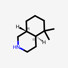 CC1(C)CCC[C@H]2CNCC[C@@H]21